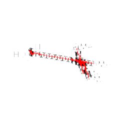 COCCOCCOCCOCCCC(=O)CCCNC(=O)CN(CCOCCOCCOCCOC)C(=O)CC[C@H](NC(=O)CCCC(=O)NCCOCCOCCOCCOCCOCCOCCOCCOCCOCCOCCOCCOCCC(=O)NCCCC[C@@H](C(=O)O)C1SSC2(SS1)SS2)C(=O)N(CCOCCOCCOCCOC)CC(=O)NCCCC(=O)CCCOCCOCCOCCOC